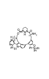 CCn1c(-c2cccnc2C(C)C)c2c3cc(ccc31)-c1cc(cc(O[Si](C(C)C)(C(C)C)C(C)C)c1)C[C@H](N)C(=O)N1CCC[C@H](N1)C(=O)OCC(C)(C)C2